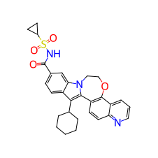 O=C(NS(=O)(=O)C1CC1)c1ccc2c(C3CCCCC3)c3n(c2c1)CCOc1c-3ccc2ncccc12